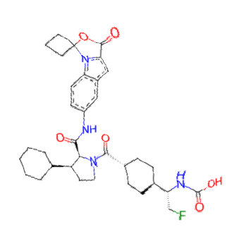 O=C(O)N[C@H](CF)[C@H]1CC[C@H](C(=O)N2CC[C@@H](C3CCCCC3)[C@H]2C(=O)Nc2ccc3c(c2)cc2n3C3(CCC3)OC2=O)CC1